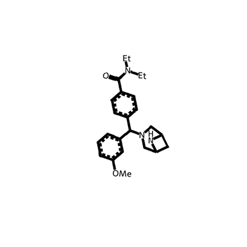 CCN(CC)C(=O)c1ccc(C(c2cccc(OC)c2)N2CC3CC(C2)N3)cc1